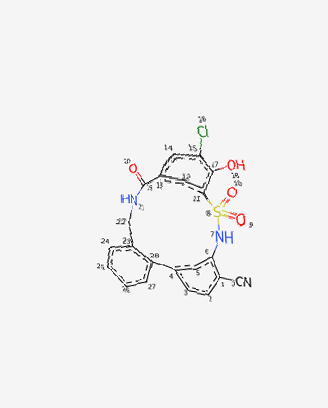 N#Cc1ccc2cc1NS(=O)(=O)c1cc(cc(Cl)c1O)C(=O)NCc1ccccc1-2